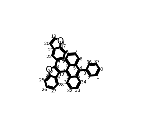 c1ccc(-c2c3ccccc3c(-c3c(-c4ccc5occc5c4)oc4ccccc34)c3ccccc23)cc1